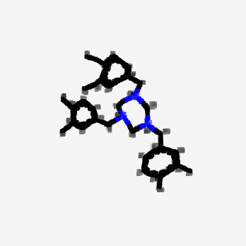 Cc1ccc(CN2CN(Cc3ccc(C)c(C)c3)CN(Cc3ccc(C)c(C)c3)C2)cc1C